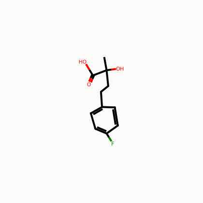 CC(O)(CCc1ccc(F)cc1)C(=O)O